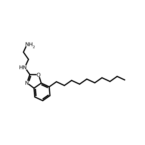 CCCCCCCCCCc1cccc2nc(NCCN)oc12